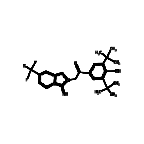 CC(C)(C)c1cc(C(=O)Cn2cc3cc(C(F)(F)F)ccn3c2=N)cc(C(C)(C)C)c1O